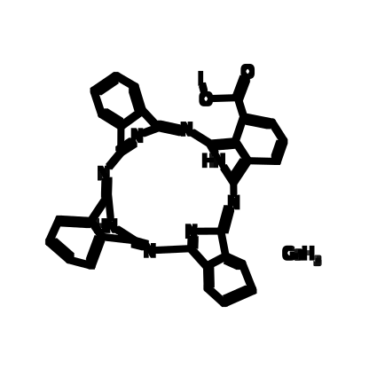 O=C(OI)c1cccc2c3nc4nc(nc5[nH]c(nc6nc(nc([nH]3)c12)-c1ccccc1-6)c1ccccc51)-c1ccccc1-4.[GaH3]